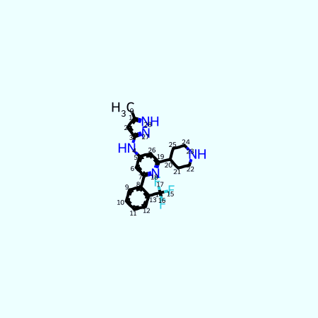 Cc1cc(Nc2cc(-c3ccccc3C(F)(F)F)nc(C3CCNCC3)c2)n[nH]1